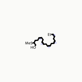 CC/C=C\C/C=C\C/C=C\C/C=C\C/C=C\CCC(CO)SC